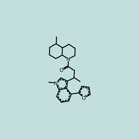 CC(CC(=O)N1CCCC2C(C)CCCC21)c1cn(C)c2cccc(-c3ccco3)c12